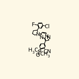 CP(C)(=O)c1ccc(-c2cnn3ccc(N4CCCC4c4cc(Cl)ccc4F)nc23)cc1C#N